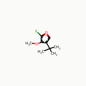 COc1c(C(C)(C)C)coc1F